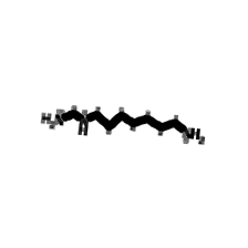 NCCCCCCCNCN